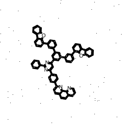 c1ccc(-c2nc(-c3ccc(-c4ccc5ccc6cccnc6c5n4)cc3)cc(-c3cc(-c4cccc(-c5cccc6c5oc5ccccc56)c4)cc(-c4cccc(-c5cccc6c5oc5ccccc56)c4)c3)n2)cc1